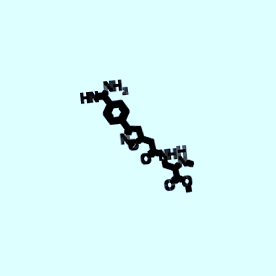 CNC(CNC(=O)CC1CC(c2ccc(C(=N)N)cc2)=NO1)C(=O)OC